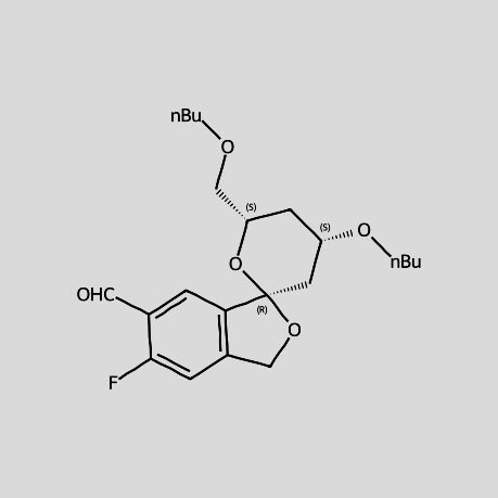 CCCCOC[C@@H]1C[C@H](OCCCC)C[C@@]2(OCc3cc(F)c(C=O)cc32)O1